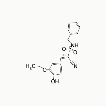 CCOc1cc(/C=C(\C#N)S(=O)(=O)NCc2ccccc2)ccc1O